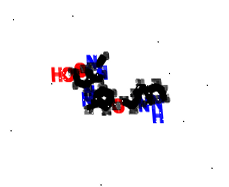 Cc1ncc(C(CC(=O)O)n2ncc3cc(OCCc4ccc5c(n4)NCCC5)ccc32)cn1